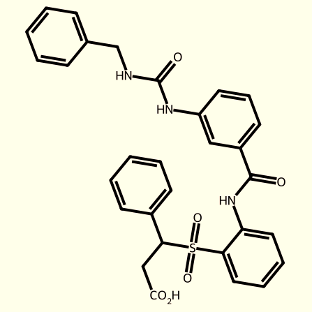 O=C(O)CC(c1ccccc1)S(=O)(=O)c1ccccc1NC(=O)c1cccc(NC(=O)NCc2ccccc2)c1